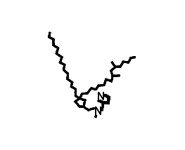 CCCCCCCCCCCCCCCCC1(CCCCCCCCC(C)CC(C)CCCCC)CCC(CCN(C)Cc2cccnc2)C1